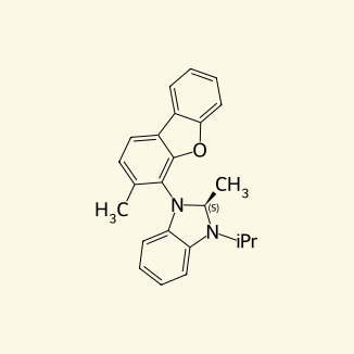 Cc1ccc2c(oc3ccccc32)c1N1c2ccccc2N(C(C)C)[C@@H]1C